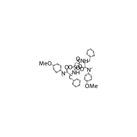 COc1ccc(N(C)C(=O)[C@H](Cc2ccccc2)NS(=O)(=O)CS(=O)(=O)N[C@@H](Cc2ccccc2)C(=O)N(C)c2ccc(OC)cc2)cc1